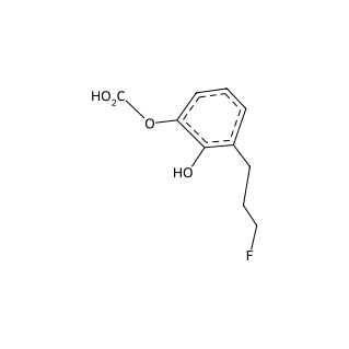 O=C(O)Oc1cccc(CCCF)c1O